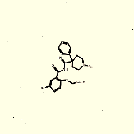 CC(=O)N1CCC(C(=N)NC(=O)c2cc(Br)ccc2OCC(=O)O)(c2ccccc2)CC1